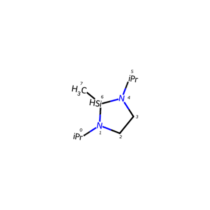 CC(C)N1CCN(C(C)C)[SiH]1C